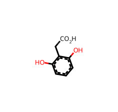 O=C(O)Cc1c(O)cccc1O